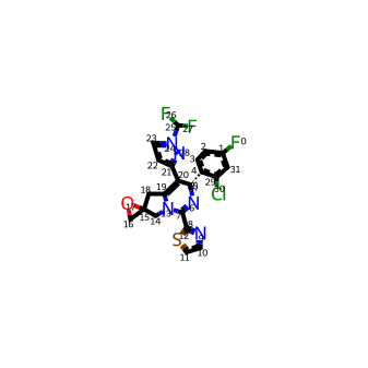 Fc1ccc([C@@H]2N=C(c3nccs3)N3CC4(CO4)CC3=C2c2ccn(C(F)F)n2)c(Cl)c1